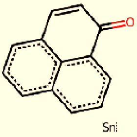 O=C1C=Cc2cccc3cccc1c23.[Sn]